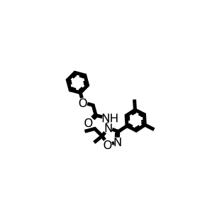 CCC1(C)ON=C(c2cc(C)cc(C)c2)N1NC(=O)COc1ccccc1